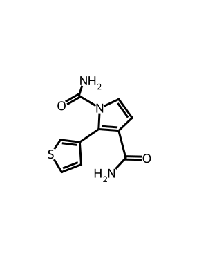 NC(=O)c1ccn(C(N)=O)c1-c1ccsc1